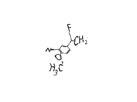 [CH2]C(CF)c1ccc(OCC)c(C#N)c1